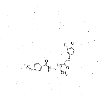 C=C(CCNC(=O)c1ccc(OC(F)(F)F)cc1)NC(=O)COc1ccc(Cl)c(F)c1